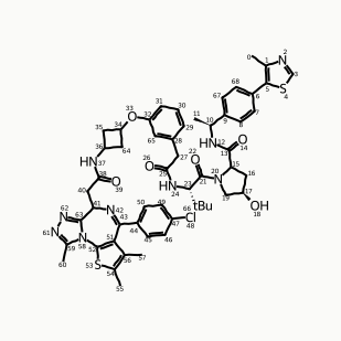 Cc1ncsc1-c1ccc([C@H](C)NC(=O)C2C[C@@H](O)CN2C(=O)[C@@H](NC(=O)Cc2cccc(OC3CC(NC(=O)CC4N=C(c5ccc(Cl)cc5)c5c(sc(C)c5C)-n5c(C)nnc54)C3)c2)C(C)(C)C)cc1